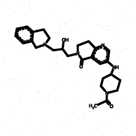 CC(=O)N1CCC(Nc2cnc3c(c2)C(=O)N(CC(O)CN2CCc4ccccc4C2)CC3)CC1